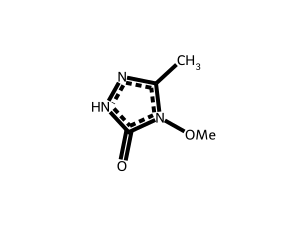 COn1c(C)n[nH]c1=O